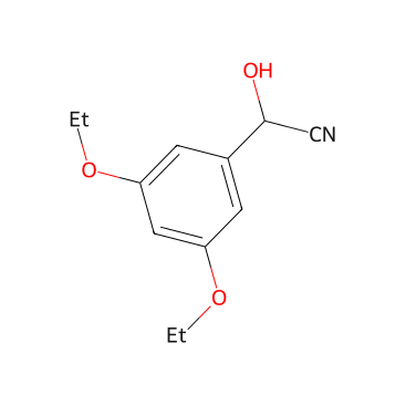 CCOc1cc(OCC)cc(C(O)C#N)c1